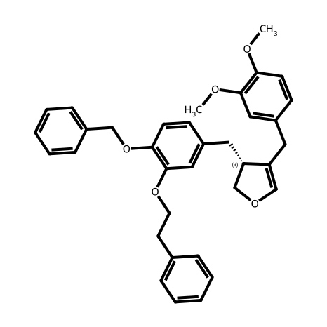 COc1ccc(CC2=COC[C@@H]2Cc2ccc(OCc3ccccc3)c(OCCc3ccccc3)c2)cc1OC